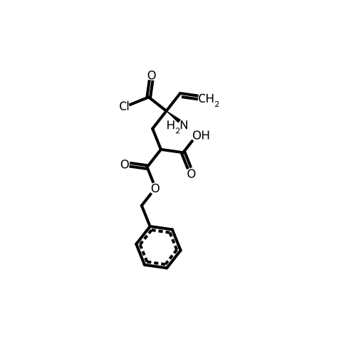 C=C[C@](N)(CC(C(=O)O)C(=O)OCc1ccccc1)C(=O)Cl